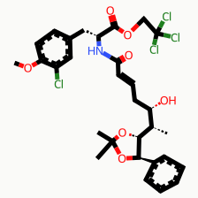 COc1ccc(C[C@@H](NC(=O)/C=C/C[C@H](O)[C@H](C)[C@H]2OC(C)(C)O[C@@H]2c2ccccc2)C(=O)OCC(Cl)(Cl)Cl)cc1Cl